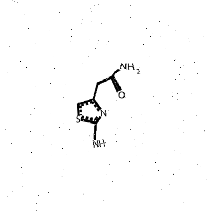 [NH]c1nc(CC(N)=O)cs1